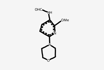 COc1nc(N2CCOCC2)ccc1NC=O